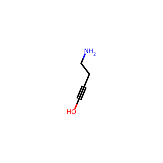 NCCC#CO